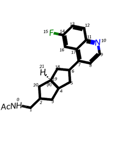 CC(=O)NCC1CC2CC(c3ccnc4ccc(F)cc34)C[C@@H]2C1